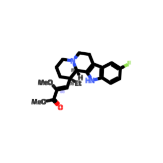 CC[C@@]1(/C=C(\OC)C(=O)OC)CCCN2CCc3c([nH]c4ccc(F)cc34)[C@@H]21